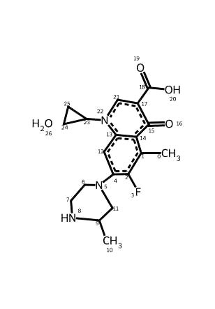 Cc1c(F)c(N2CCNC(C)C2)cc2c1c(=O)c(C(=O)O)cn2C1CC1.O